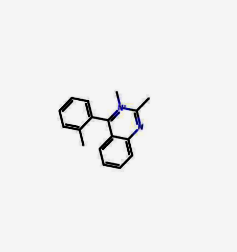 Cc1ccccc1-c1c2ccccc2nc(C)[n+]1C